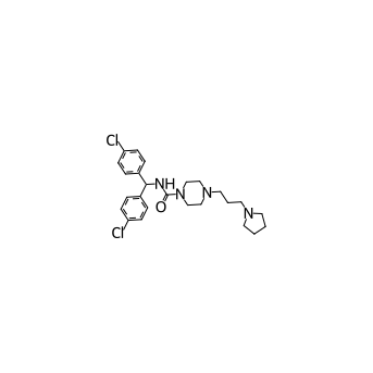 O=C(NC(c1ccc(Cl)cc1)c1ccc(Cl)cc1)N1CCN(CCCN2CCCC2)CC1